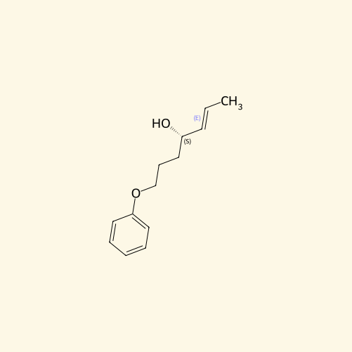 C/C=C/[C@@H](O)CCCOc1ccccc1